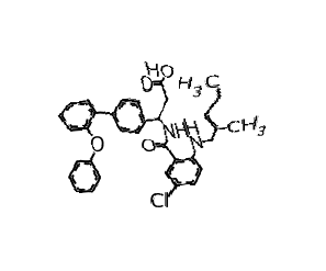 CCC=C(C)CNc1ccc(Cl)cc1C(=O)NC(CC(=O)O)c1ccc(-c2ccccc2Oc2ccccc2)cc1